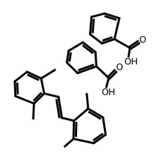 Cc1cccc(C)c1C=Cc1c(C)cccc1C.O=C(O)c1ccccc1.O=C(O)c1ccccc1